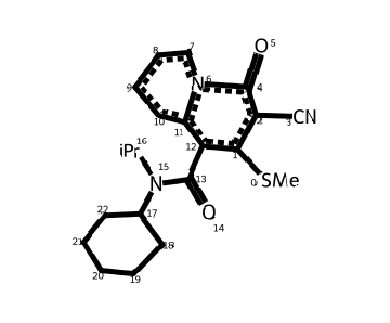 CSc1c(C#N)c(=O)n2ccccc2c1C(=O)N(C(C)C)C1CCCCC1